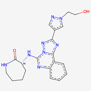 O=C1NCCCC[C@H]1Nc1nc2ccccc2c2nc(-c3cnn(CCO)c3)nn12